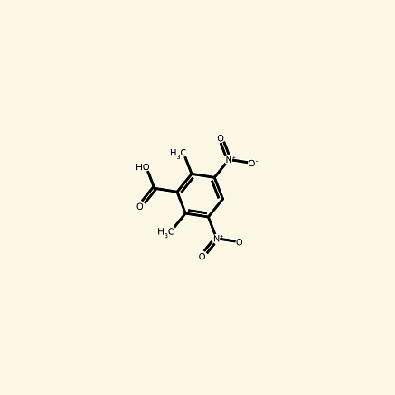 Cc1c([N+](=O)[O-])cc([N+](=O)[O-])c(C)c1C(=O)O